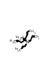 C=CCN(CC=C)C(N)(CC=C)CC=C